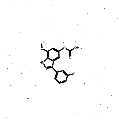 COc1cc(OC(=O)O)cc2c(-c3cccc(F)c3)n[nH]c12